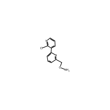 NOCc1cccc(-c2cccnc2Cl)n1